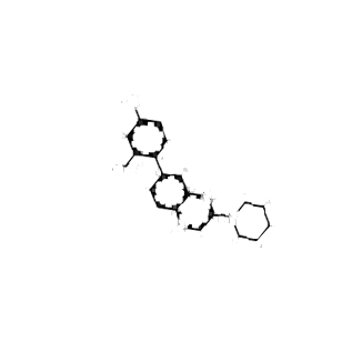 Clc1ccc(-c2ccc3ncc(N4CCCCC4)nc3c2)c(Cl)c1